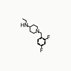 CCNC1CCN(Cc2ccc(F)cc2F)CC1